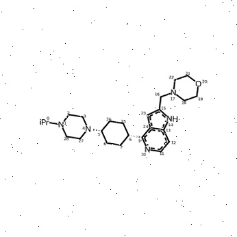 CC(C)N1CCN([C@H]2CC[C@@H](c3nccc4[nH]c(CN5CCOCC5)cc43)CC2)CC1